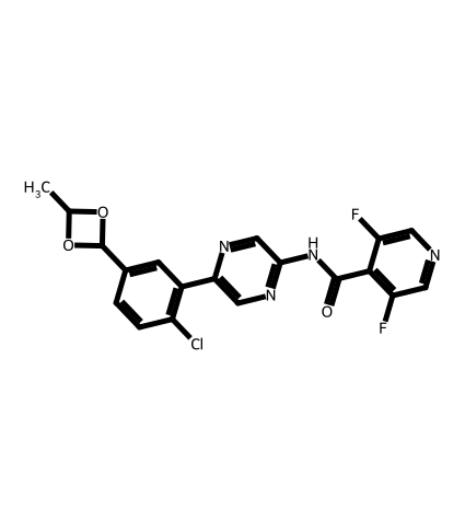 CC1OC(c2ccc(Cl)c(-c3cnc(NC(=O)c4c(F)cncc4F)cn3)c2)O1